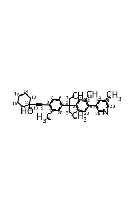 CCC(CC)(c1ccc(C#CC2(O)CCCCC2)c(C)c1)c1ccc(-c2cncc(C)c2)c(C)c1